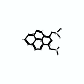 CN(C)Cc1cc(CN(C)C)c2ccc3cccc4ccc1c2c43